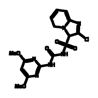 COc1cc(OC)nc(NC(=O)NS(=O)(=O)C2C(Cl)=NC3=CC=CCN32)n1